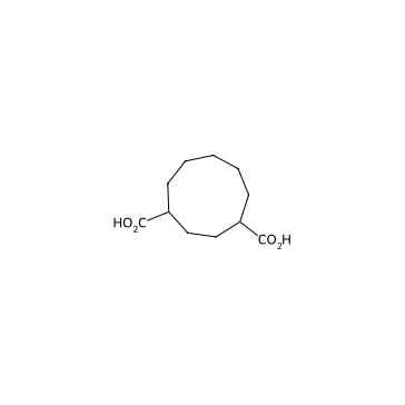 O=C(O)C1CCCCCC(C(=O)O)CC1